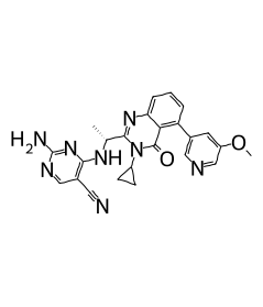 COc1cncc(-c2cccc3nc([C@@H](C)Nc4nc(N)ncc4C#N)n(C4CC4)c(=O)c23)c1